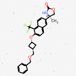 C[C@@]1(c2ccc3c(C(F)(F)F)c(O[C@H]4C[C@H](COCc5ccccc5)C4)ccc3c2)COC(=O)N1